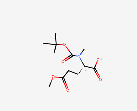 COC(=O)CC[C@@H](C(=O)O)N(C)C(=O)OC(C)(C)C